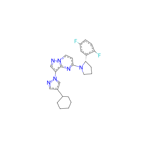 Fc1ccc(F)c([C@@H]2CCCN2c2ccn3ncc(-n4cc(C5CCCCC5)cn4)c3n2)c1